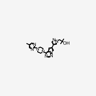 Cc1cnc(N2CCN(c3ncnn4cc(-c5cnn(CC(C)(C)O)c5)cc34)CC2)nc1